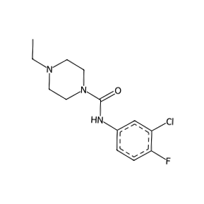 CCN1CCN(C(=O)Nc2ccc(F)c(Cl)c2)CC1